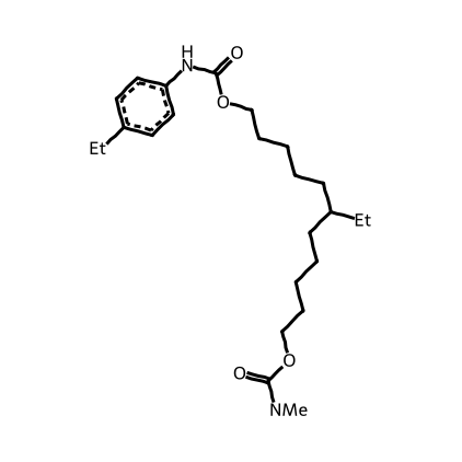 CCc1ccc(NC(=O)OCCCCCC(CC)CCCCCOC(=O)NC)cc1